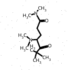 CN(C)C(=O)CCC(C(=O)C(C)(C)C)N(C)C